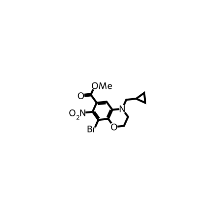 COC(=O)c1cc2c(c(Br)c1[N+](=O)[O-])OCCN2CC1CC1